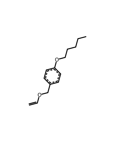 C=COCc1ccc(OCCCCC)cc1